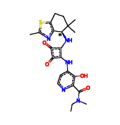 CCN(C)C(=O)c1nccc(Nc2c(N[C@H]3c4nc(C)sc4CCC3(C)C)c(=O)c2=O)c1O